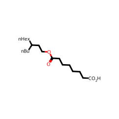 CCCCCCC(CCCC)CCOC(=O)CCCCCCC(=O)O